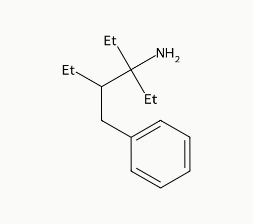 CCC(Cc1ccccc1)C(N)(CC)CC